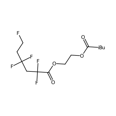 CCC(C)C(=O)OCCOC(=O)C(F)(F)CC(F)(F)CCF